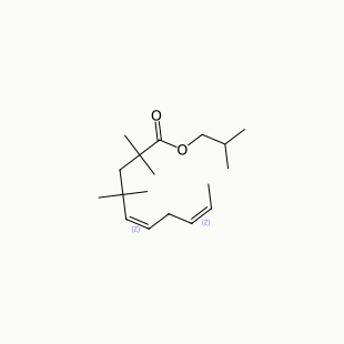 C/C=C\C/C=C\C(C)(C)CC(C)(C)C(=O)OCC(C)C